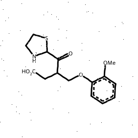 COc1ccccc1OCC(CC(=O)O)C(=O)C1NCCS1